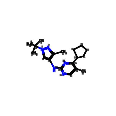 Cc1nn(C(C)(C)C#N)cc1Nc1ncc(C#N)c(C2CCCC2)n1